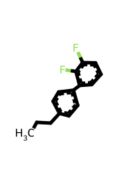 CCCc1ccc(-c2cccc(F)c2F)cc1